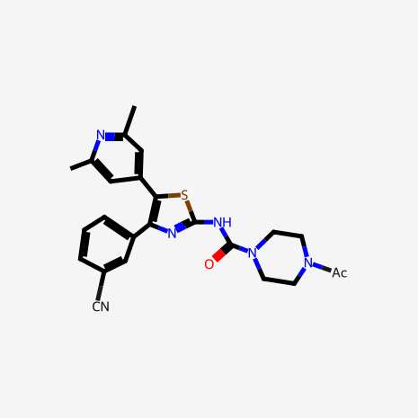 CC(=O)N1CCN(C(=O)Nc2nc(-c3cccc(C#N)c3)c(-c3cc(C)nc(C)c3)s2)CC1